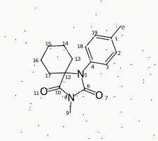 Cc1ccc(N2C(=O)N(C)C(=O)C23CCCCC3)cc1